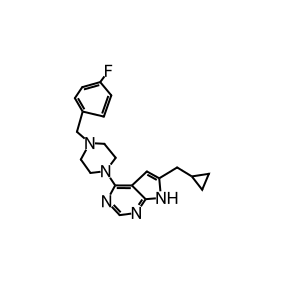 Fc1ccc(CN2CCN(c3ncnc4[nH]c(CC5CC5)cc34)CC2)cc1